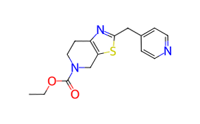 CCOC(=O)N1CCc2nc(Cc3ccncc3)sc2C1